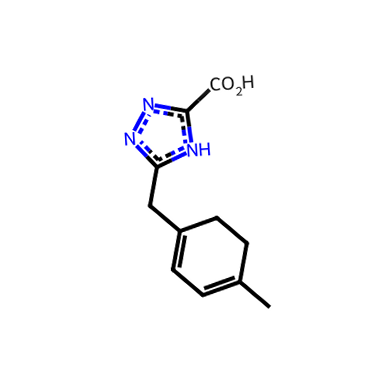 CC1=CC=C(Cc2nnc(C(=O)O)[nH]2)CC1